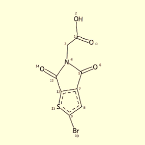 O=C(O)CN1C(=O)c2cc(Br)sc2C1=O